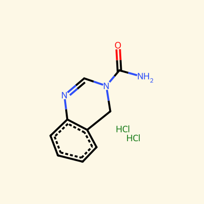 Cl.Cl.NC(=O)N1C=Nc2ccccc2C1